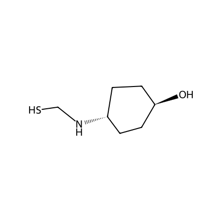 O[C@H]1CC[C@H](NCS)CC1